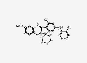 CCc1cncnc1Nc1cc(Cl)c2c(c1)C1(CCCCC1)N(Cc1ccc(OC)cc1)C2=O